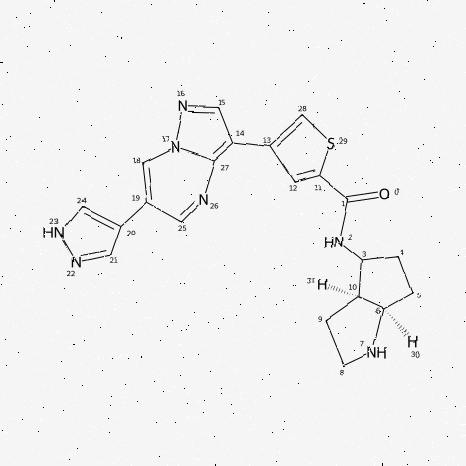 O=C(NC1CC[C@H]2NCC[C@@H]12)c1cc(-c2cnn3cc(-c4cn[nH]c4)cnc23)cs1